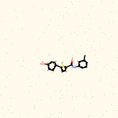 Cc1cccc(NC(=O)c2ccc(-c3ccc(O)cc3)s2)c1